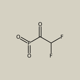 O=C(C(F)F)P(=O)=O